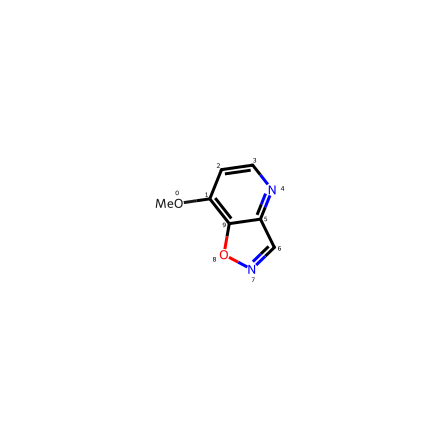 COc1ccnc2cnoc12